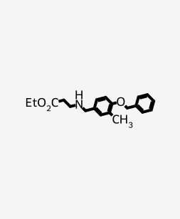 CCOC(=O)CCNCc1ccc(OCc2ccccc2)c(C)c1